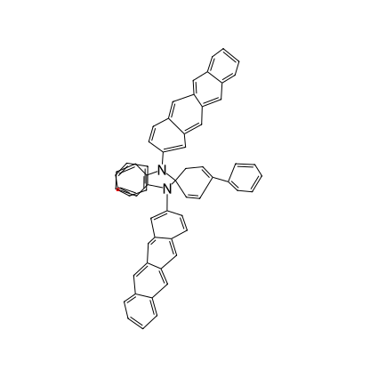 C1=CC(N(c2ccccc2)c2ccc3cc4cc5ccccc5cc4cc3c2)(N(c2ccccc2)c2ccc3cc4cc5ccccc5cc4cc3c2)CC=C1c1ccccc1